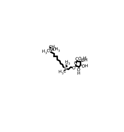 C[N+](C)(C)CCCCCCCCC[Si](C)(C)CCOC1O[C@H](C(=O)O)[C@H](O)[C@H](O)[C@H]1O